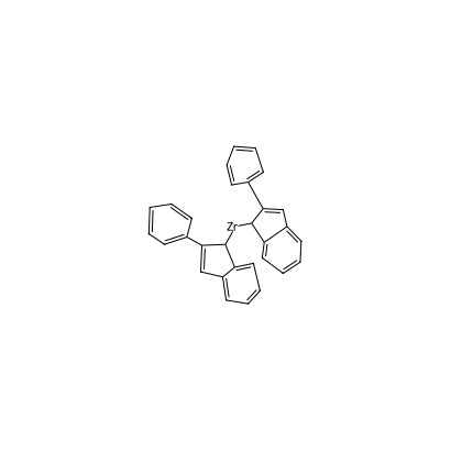 C1=C(c2ccccc2)[CH]([Zr][CH]2C(c3ccccc3)=Cc3ccccc32)c2ccccc21